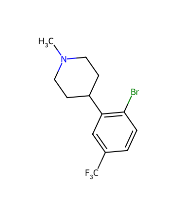 CN1CCC(c2cc(C(F)(F)F)ccc2Br)CC1